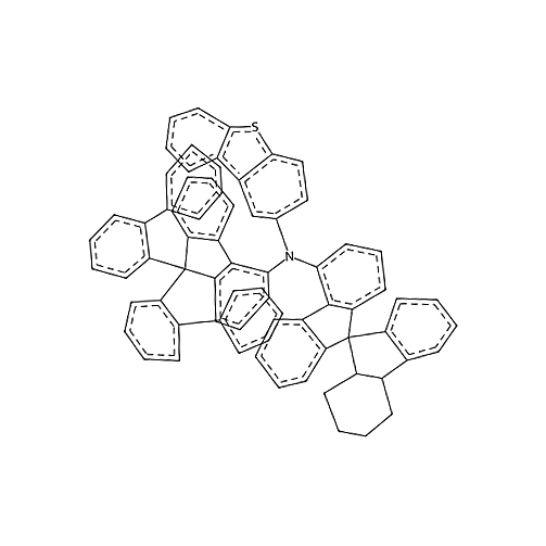 c1ccc(-c2ccccc2C2(c3ccccc3-c3ccccc3)c3ccccc3-c3c(N(c4ccc5sc6ccccc6c5c4)c4cccc5c4-c4ccccc4C54c5ccccc5C5CCCCC54)cccc32)cc1